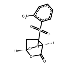 O=C1O[C@H]2CC[C@@H]1N(S(=O)(=O)c1ccccc1[N+](=O)[O-])C2